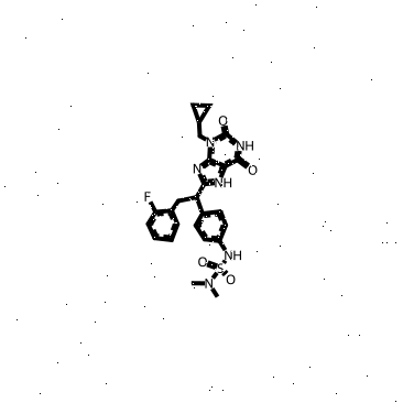 CN(C)S(=O)(=O)Nc1ccc(C(Cc2ccccc2F)c2nc3c([nH]2)c(=O)[nH]c(=O)n3CC2CC2)cc1